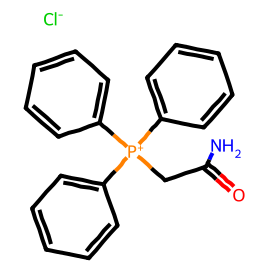 NC(=O)C[P+](c1ccccc1)(c1ccccc1)c1ccccc1.[Cl-]